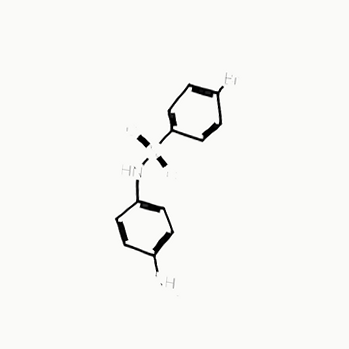 Nc1ccc(NS(=O)(=O)c2ccc(Br)cc2)cc1